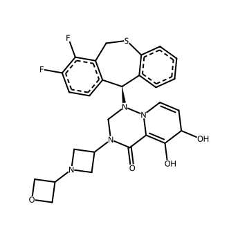 O=C1C2=C(O)C(O)C=CN2N([C@@H]2c3ccccc3SCc3c2ccc(F)c3F)CN1C1CN(C2COC2)C1